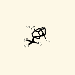 CC12CC3CC4C1CC1(C(N)(N)N)CC2C(C3)C4(C)C1